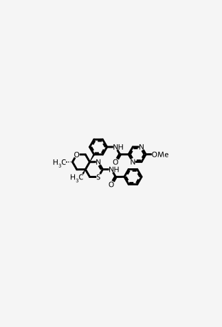 COc1cnc(C(=O)Nc2cccc([C@]34CO[C@@H](C)C[C@@]3(C)CSC(NC(=O)c3ccccc3)=N4)c2)cn1